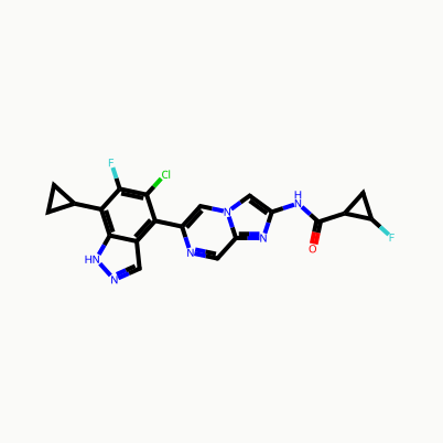 O=C(Nc1cn2cc(-c3c(Cl)c(F)c(C4CC4)c4[nH]ncc34)ncc2n1)C1CC1F